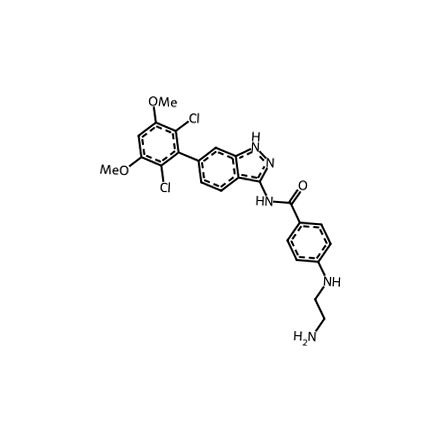 COc1cc(OC)c(Cl)c(-c2ccc3c(NC(=O)c4ccc(NCCN)cc4)n[nH]c3c2)c1Cl